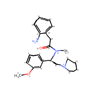 COc1cccc([C@H](CN2CCCC2)N(C)C(=O)Cc2ccccc2N)c1